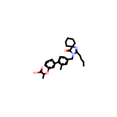 CCCCC1=NC2(CCCCC2)C(=O)N1Cc1ccc(-c2cccc(OC(C)C(=O)O)c2)c(C)c1